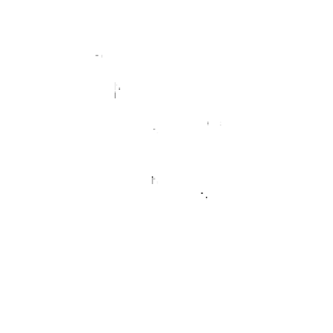 CCNc1ccccc1Nc1nc(-c2ccccc2)ncc1C(=O)OCC